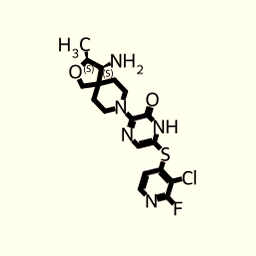 C[C@@H]1OCC2(CCN(c3ncc(Sc4ccnc(F)c4Cl)[nH]c3=O)CC2)[C@@H]1N